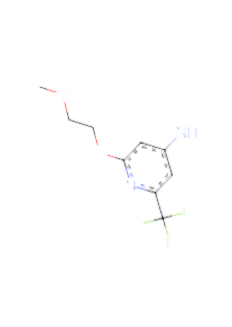 COCCOc1cc(N)cc(C(F)(F)F)n1